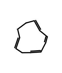 [CH]1/C=C/C\C=C/C=C\C=C\C1